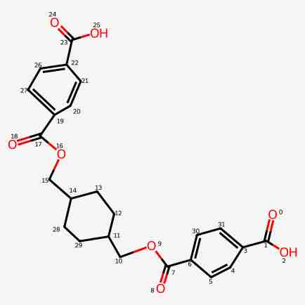 O=C(O)c1ccc(C(=O)OCC2CCC(COC(=O)c3ccc(C(=O)O)cc3)CC2)cc1